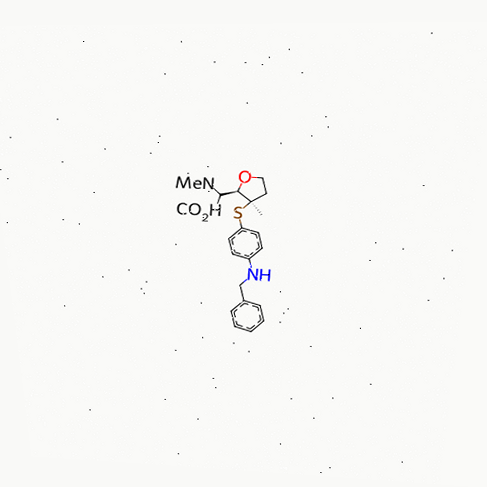 CNC(C(=O)O)[C@H]1OCC[C@@]1(C)Sc1ccc(NCc2ccccc2)cc1